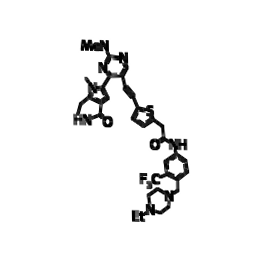 CCN1CCN(Cc2ccc(NC(=O)Cc3ccc(C#Cc4cnc(NC)nc4-c4cc5c(n4C)CCNC5=O)s3)cc2C(F)(F)F)CC1